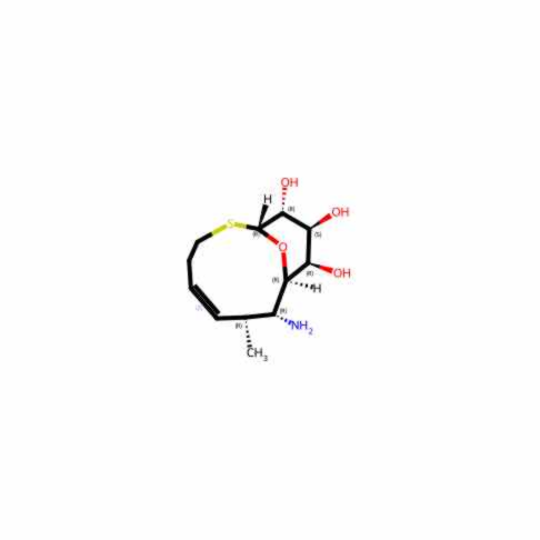 C[C@@H]1/C=C\CCS[C@H]2O[C@H]([C@@H]1N)[C@H](O)[C@H](O)[C@H]2O